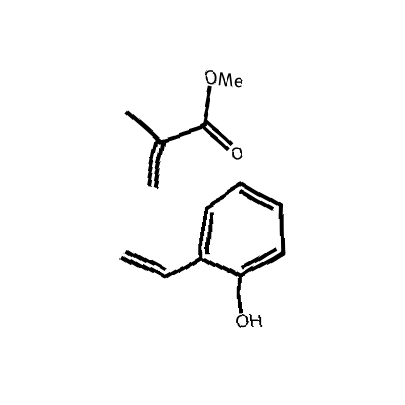 C=C(C)C(=O)OC.C=Cc1ccccc1O